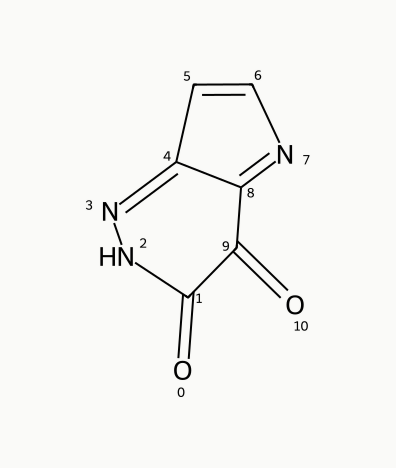 O=C1NN=C2C=CN=C2C1=O